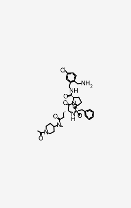 CC(=O)N1CCC(N(C)C(=O)CC[C@@H](NS(=O)(=O)Cc2ccccc2)C(=O)N2CCC[C@H]2C(=O)NCc2cc(Cl)ccc2CN)CC1